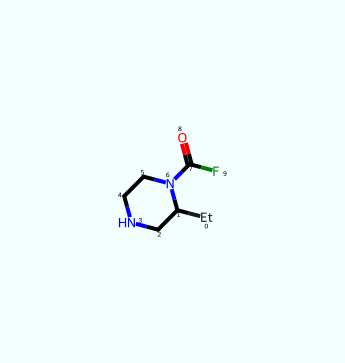 CCC1CNCCN1C(=O)F